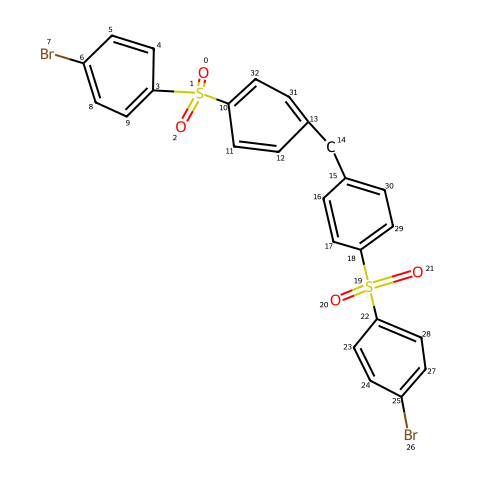 O=S(=O)(c1ccc(Br)cc1)c1ccc(Cc2ccc(S(=O)(=O)c3ccc(Br)cc3)cc2)cc1